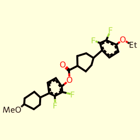 CCOc1ccc(C2CCC(C(=O)Oc3ccc(C4CCC(OC)CC4)c(F)c3F)CC2)c(F)c1F